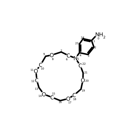 Nc1ccc(N2CCOCCOCCOCCOCCOCC2)cc1